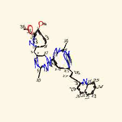 COc1ccc(CC2=NC(C)=NN(c3cc(CCc4ccc5ccccc5n4)nc(C)n3)C2)nc1OC